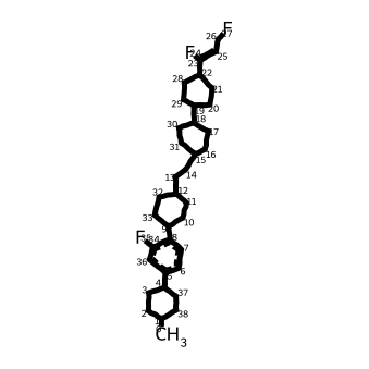 CC1CCC(c2ccc(C3CCC(CCC4CCC(C5CCC(/C(F)=C/CF)CC5)CC4)CC3)c(F)c2)CC1